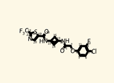 O=C(COc1ccc(Cl)c(F)c1)NC12CC(NC(=O)c3cnc(C(F)(F)F)s3)(C1)C2